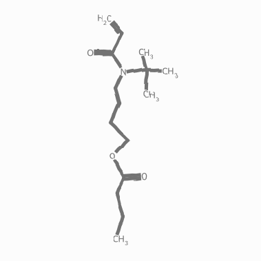 C=CC(=O)N(CCCCOC(=O)CCC)C(C)(C)C